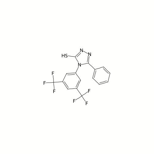 FC(F)(F)c1cc(-n2c(S)nnc2-c2ccccc2)cc(C(F)(F)F)c1